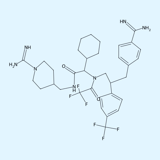 N=C(N)c1ccc(CC(CN(C(=O)C(F)(F)F)C(C(=O)NCC2CCN(C(=N)N)CC2)C2CCCCC2)c2ccc(C(F)(F)F)cc2)cc1